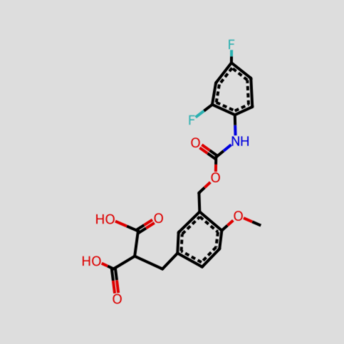 COc1ccc(CC(C(=O)O)C(=O)O)cc1COC(=O)Nc1ccc(F)cc1F